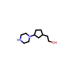 OCCC1CCC(N2CCNCC2)C1